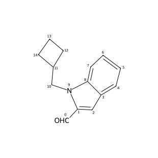 O=Cc1cc2ccccc2n1CC1CCC1